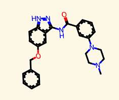 CN1CCN(c2cccc(C(=O)Nc3n[nH]c4ccc(OCc5ccccc5)cc34)c2)CC1